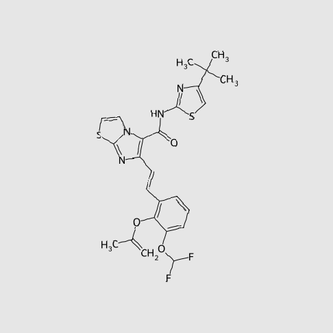 C=C(C)Oc1c(/C=C/c2nc3sccn3c2C(=O)Nc2nc(C(C)(C)C)cs2)cccc1OC(F)F